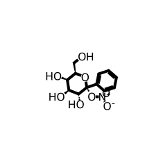 O=[N+]([O-])O[C@@]1(c2ccccc2)O[C@H](CO)[C@H](O)[C@H](O)[C@H]1O